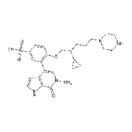 CCS(=O)(=O)c1ccc(OCC(CCCN2CCNCC2)C2CC2)c(-c2cn(C)c(=O)c3[nH]ccc23)c1